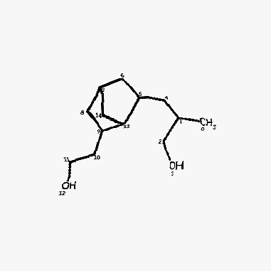 CC(CO)CC1CC2CC(CCO)C1C2